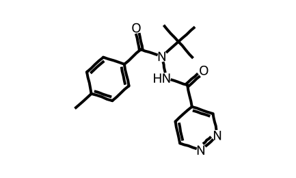 Cc1ccc(C(=O)N(NC(=O)c2ccnnc2)C(C)(C)C)cc1